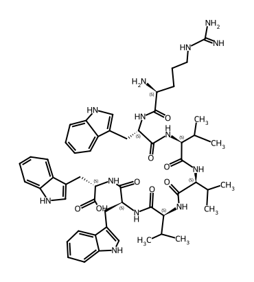 CC(C)[C@H](NC(=O)[C@H](Cc1c[nH]c2ccccc12)NC(=O)[C@@H](N)CCCNC(=N)N)C(=O)N[C@H](C(=O)N[C@H](C(=O)N[C@@H](Cc1c[nH]c2ccccc12)C(=O)N[C@@H](Cc1c[nH]c2ccccc12)C(=O)O)C(C)C)C(C)C